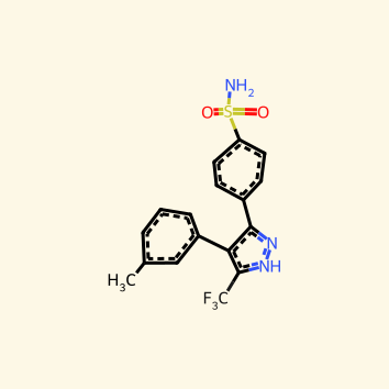 Cc1cccc(-c2c(-c3ccc(S(N)(=O)=O)cc3)n[nH]c2C(F)(F)F)c1